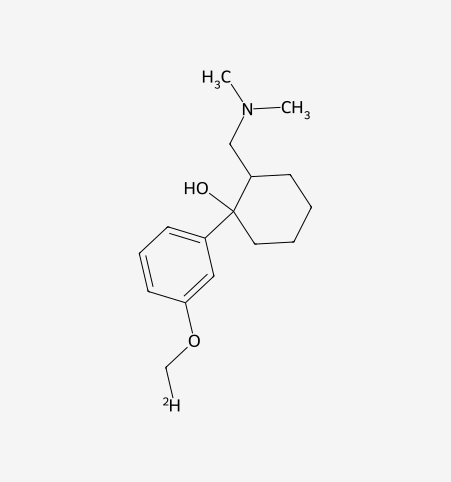 [2H]COc1cccc(C2(O)CCCCC2CN(C)C)c1